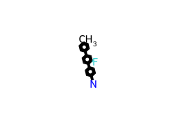 Cc1ccc(-c2ccc(-c3ccc(C#N)cc3)c(F)c2)cc1